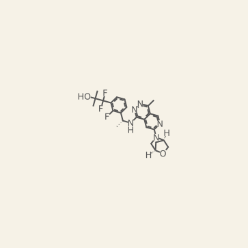 Cc1nnc(N[C@H](C)c2cccc(C(F)(F)C(C)(C)O)c2F)c2cc(N3C[C@H]4C[C@@H]3CO4)ncc12